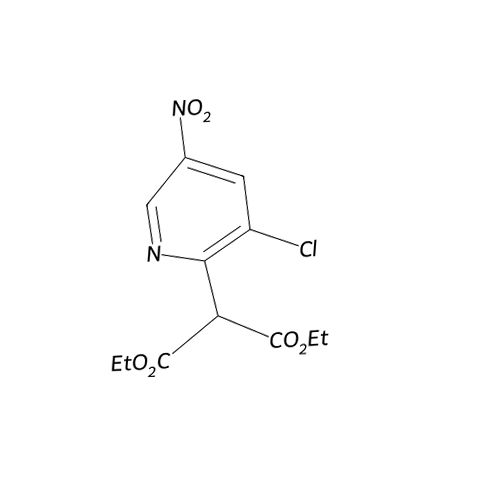 CCOC(=O)C(C(=O)OCC)c1ncc([N+](=O)[O-])cc1Cl